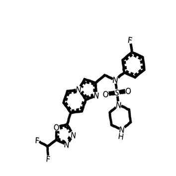 O=S(=O)(N1CCNCC1)N(Cc1cn2ccc(-c3nnc(C(F)F)o3)cc2n1)c1cccc(F)c1